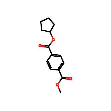 COC(=O)c1ccc(C(=O)OC2CCCC2)cc1